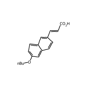 CCCCOc1ccc2cc(C=CC(=O)O)ccc2c1